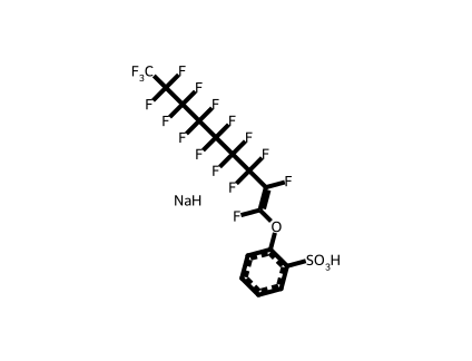 O=S(=O)(O)c1ccccc1OC(F)=C(F)C(F)(F)C(F)(F)C(F)(F)C(F)(F)C(F)(F)C(F)(F)C(F)(F)F.[NaH]